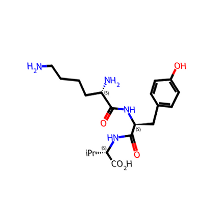 CC(C)[C@H](NC(=O)[C@H](Cc1ccc(O)cc1)NC(=O)[C@@H](N)CCCCN)C(=O)O